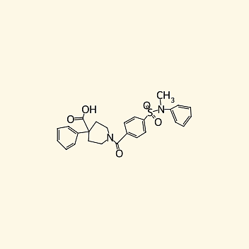 CN(c1ccccc1)S(=O)(=O)c1ccc(C(=O)N2CCC(C(=O)O)(c3ccccc3)CC2)cc1